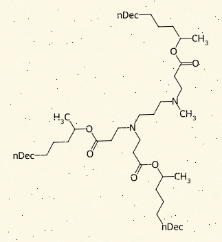 CCCCCCCCCCCCCC(C)OC(=O)CCN(C)CCCN(CCC(=O)OC(C)CCCCCCCCCCCCC)CCC(=O)OC(C)CCCCCCCCCCCCC